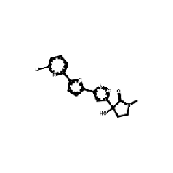 CN1CCC(O)(c2cc(-c3ccc(-c4cccc(Cl)n4)o3)no2)C1=O